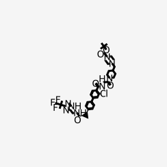 CC(C)(C)OC(=O)N1CCN(CC2CCN(C(=O)CNC(=O)c3ccc(-c4ccc([C@H]5C[C@@H]5C(=O)NCc5nc(C(C)(C)C(F)(F)F)n[nH]5)cc4)cc3Cl)CC2)CC1